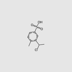 Cc1ccc(S(=O)(=O)O)cc1C(C)Cl